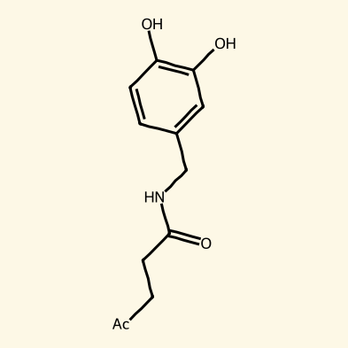 CC(=O)CCC(=O)NCc1ccc(O)c(O)c1